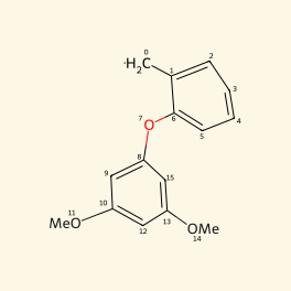 [CH2]c1ccccc1Oc1cc(OC)cc(OC)c1